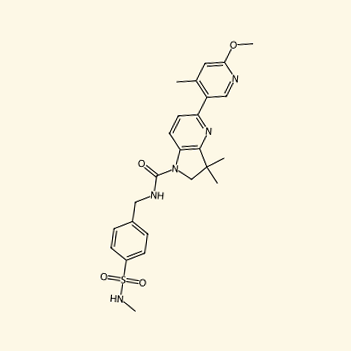 CNS(=O)(=O)c1ccc(CNC(=O)N2CC(C)(C)c3nc(-c4cnc(OC)cc4C)ccc32)cc1